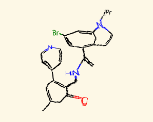 C=C(NCC1=C(c2ccncc2)C=C(C)CC1=O)c1cc(Br)cc2c1ccn2C(C)C